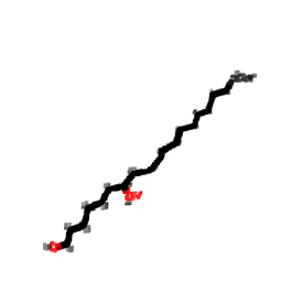 CCCCCCCCCCCCCCCCCCCCC(O)CCCCCC[O]